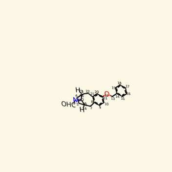 O=C/N=C1/[C@@H]2CC[C@H]1Cc1ccc(OCc3ccccc3)cc1C2